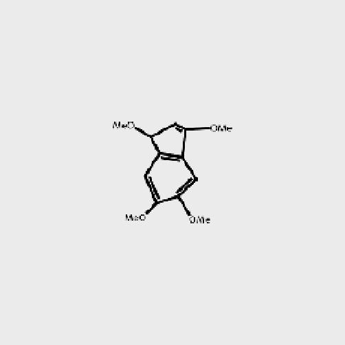 COC1=CC(OC)c2cc(OC)c(OC)cc21